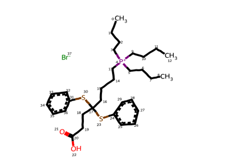 CCCC[P+](CCCC)(CCCC)CCCCC(CCC(=O)O)(Sc1ccccc1)Sc1ccccc1.[Br-]